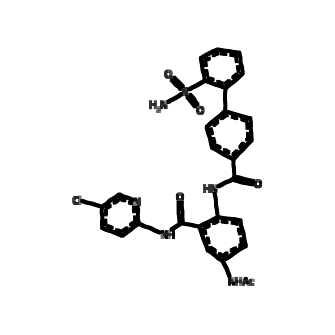 CC(=O)Nc1ccc(NC(=O)c2ccc(-c3ccccc3S(N)(=O)=O)cc2)c(C(=O)Nc2ccc(Cl)cn2)c1